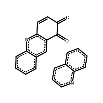 O=C1C=Cc2nc3ccccc3cc2C1=O.c1ccc2ncccc2c1